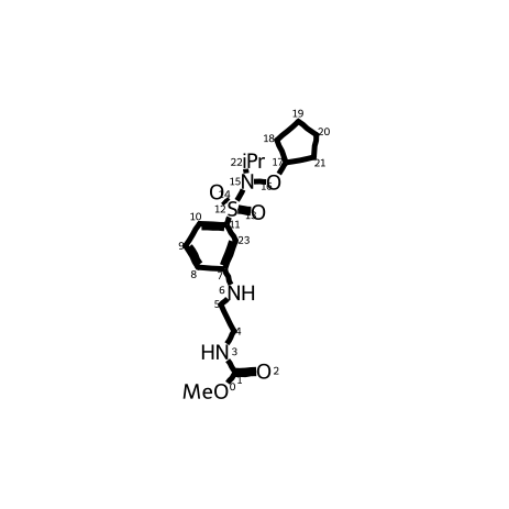 COC(=O)NCCNc1cccc(S(=O)(=O)N(OC2CCCC2)C(C)C)c1